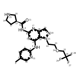 Cc1ccc(Nc2nc(NC(=O)[C@H]3CCNC3)nc3cnn(CCOCC(F)(F)F)c23)nc1